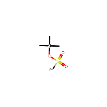 CC(C)S(=O)(=O)O[Si](C)(C)C